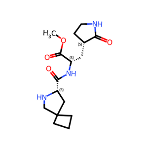 COC(=O)[C@H](C[C@@H]1CCNC1=O)NC(=O)[C@@H]1CC2(CCC2)CN1